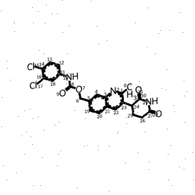 Cc1nc2cc(COC(=O)Nc3ccc(Cl)c(Cl)c3)ccc2cc1C1CCC(=O)NC1=O